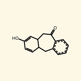 O=C1CC2C=C(O)C=CC2Cc2ccccc21